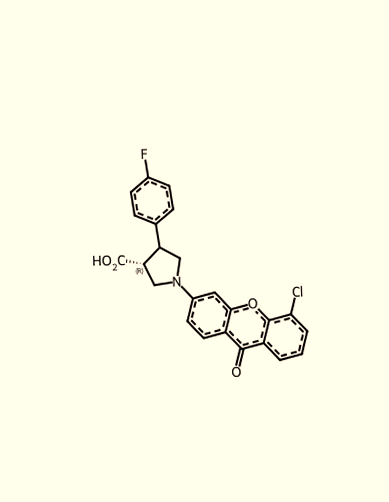 O=C(O)[C@H]1CN(c2ccc3c(=O)c4cccc(Cl)c4oc3c2)CC1c1ccc(F)cc1